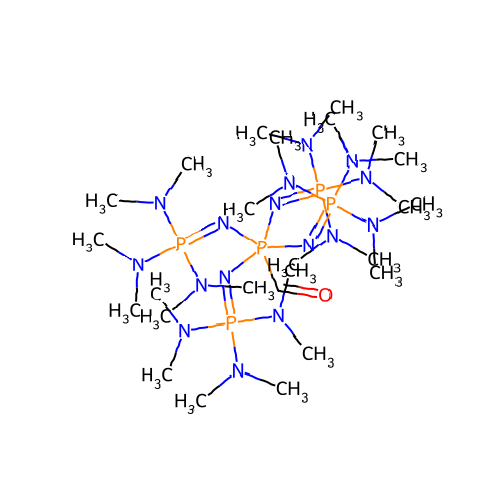 CN(C)P(=NP(C=O)(N=P(N(C)C)(N(C)C)N(C)C)(N=P(N(C)C)(N(C)C)N(C)C)N=P(N(C)C)(N(C)C)N(C)C)(N(C)C)N(C)C